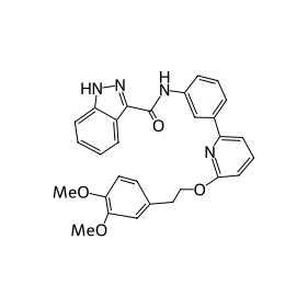 COc1ccc(CCOc2cccc(-c3cccc(NC(=O)c4n[nH]c5ccccc45)c3)n2)cc1OC